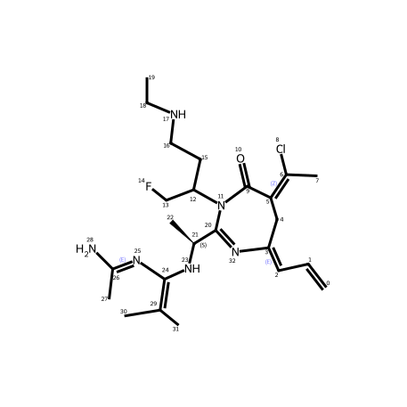 C=C/C=C1\C/C(=C(\C)Cl)C(=O)N(C(CF)CCNCC)C([C@H](C)NC(/N=C(\C)N)=C(C)C)=N1